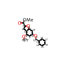 COC(=O)c1cc2c(OC(C)C)cc(OCc3ccccc3)cc2o1